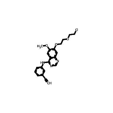 C#Cc1cccc(Nc2ncnc3cc(OCCOCCCl)c(OC)cc23)c1